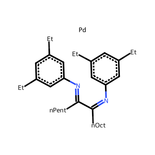 CCCCCCCCC(=Nc1cc(CC)cc(CC)c1)C(CCCCC)=Nc1cc(CC)cc(CC)c1.[Pd]